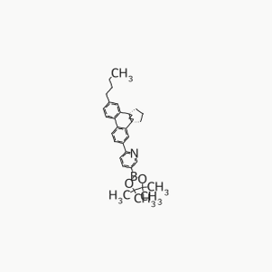 CCCCc1ccc2c(c1)[C@]13CCC[C@]1(CCC3)c1cc(-c3ccc(B4OC(C)(C)C(C)(C)O4)cn3)ccc1-2